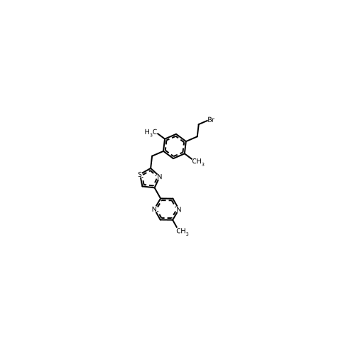 Cc1cnc(-c2csc(Cc3cc(C)c(CCBr)cc3C)n2)cn1